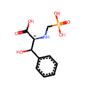 O=C(O)[C@@H](NCP(=O)(O)O)C(O)c1ccccc1